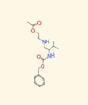 CC(=O)OCCNCC(NC(=O)OCc1ccccc1)C(C)C